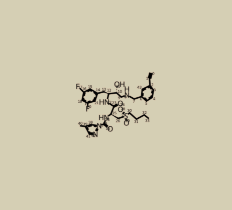 C#Cc1cccc(CNC[C@@H](O)[C@H](Cc2cc(F)cc(F)c2)NC(=O)[C@@H](CS(=O)(=O)CCCC)NC(=O)n2cc(C)cn2)c1